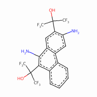 Nc1cc2c(cc1C(O)(C(F)(F)F)C(F)(F)F)c(N)c(C(O)(C(F)(F)F)C(F)(F)F)c1ccccc12